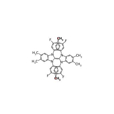 Cc1cc2c(cc1C)N(c1ccc(C)c(F)c1)C(=C1N(c3ccc(C)c(F)c3)c3cc(C)c(C)cc3N1c1ccc(C)c(F)c1)N2c1ccc(C)c(F)c1